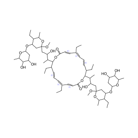 CCC1=C\C=C\C(CC)C(C(C)C(O)CC2(OC)CC(OC3CC(O)C(O)C(C)O3)C(CC)C(C)O2)OC(=O)/C=C/C(CC)=C/C=C/C(CC)C(C(C)C(O)CC2(OC)CC(OC3CC(O)C(O)C(C)O3)C(CC)C(C)O2)OC(=O)\C=C\1